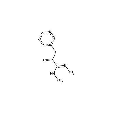 CN=C(NC)C(=O)Cc1cccnc1